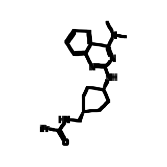 CC(C)C(=O)NC[C@H]1CC[C@@H](Nc2nc(N(C)C)c3ccccc3n2)CC1